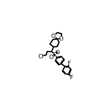 O=S(=O)(c1ccc(-c2ccc(F)cc2F)cc1)C(CCCl)C1CCC2(CC1)OCCO2